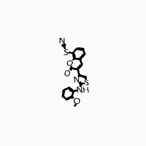 COc1ccccc1Nc1nc(-c2cc3cccc(SC#N)c3oc2=O)cs1